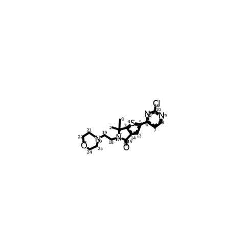 CC1(C)c2sc(-c3ccnc(Cl)n3)cc2C(=O)N1CCN1CCOCC1